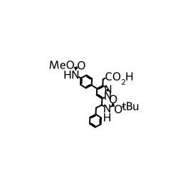 COC(=O)Nc1ccc(-c2cc(C(Cc3ccccc3)NC(=O)OC(C)(C)C)nnc2CC(=O)O)cc1